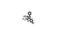 CCCCN1C(C(N)=O)=C(c2ccc(Br)cc2)SC1c1ccccc1